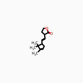 CC1=CCC(/C=C/C2CCOC2=O)C1(C)C